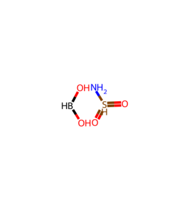 N[SH](=O)=O.OBO